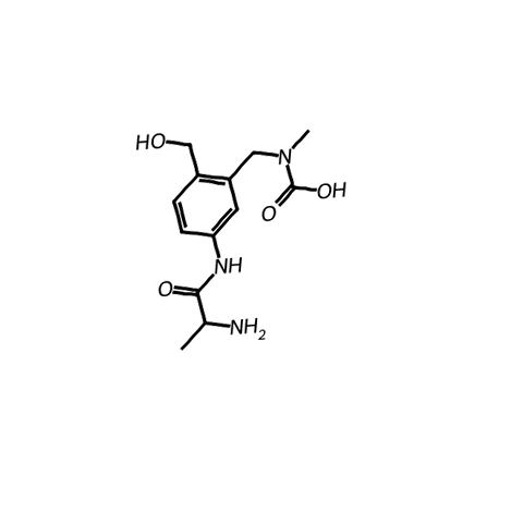 CC(N)C(=O)Nc1ccc(CO)c(CN(C)C(=O)O)c1